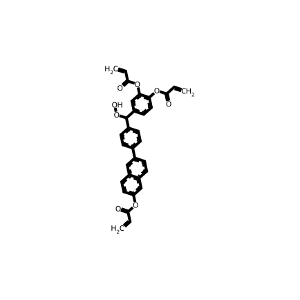 C=CC(=O)Oc1ccc2cc(-c3ccc(C(OO)c4ccc(OC(=O)C=C)c(OC(=O)C=C)c4)cc3)ccc2c1